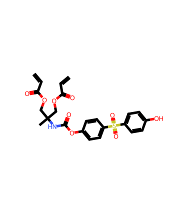 C=CC(=O)OCC(C)(COC(=O)C=C)NC(=O)Oc1ccc(S(=O)(=O)c2ccc(O)cc2)cc1